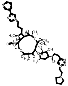 CO[C@]1(C)C[C@@H](C)C(=O)[C@@H]2C(CCCn3cnc(-c4cccnc4)c3)N(C)[C@H]2[C@](C)(OC=O)[C@@H](I)OC(=O)[C@H](C)C(=O)[C@H](C)[C@H]1O[C@@H]1O[C@H](C)C[C@H](N(C)CCc2cn(CCN3CCCC3)nn2)[C@H]1O